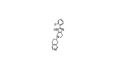 Fc1ccccc1-c1nc2c([nH]1)CN(C1CCc3ccncc3C1)CC2